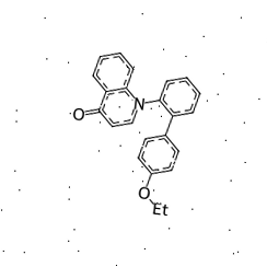 CCOc1ccc(-c2ccccc2-n2ccc(=O)c3ccccc32)cc1